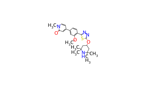 COc1cc(-c2ccn(C)c(=O)c2)ccc1-c1nnc(OC2CC(C)(C)NC(C)(C)C2)s1